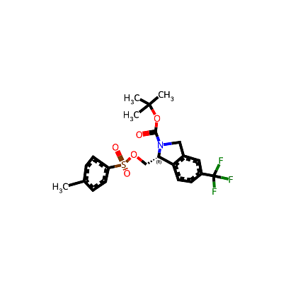 Cc1ccc(S(=O)(=O)OC[C@H]2c3ccc(C(F)(F)F)cc3CN2C(=O)OC(C)(C)C)cc1